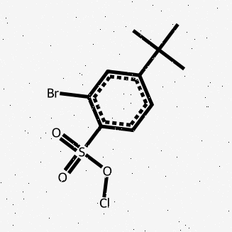 CC(C)(C)c1ccc(S(=O)(=O)OCl)c(Br)c1